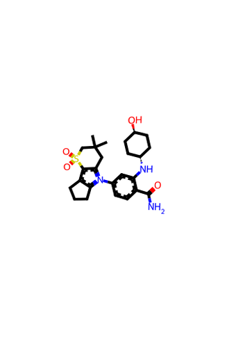 CC1(C)Cc2c(c3c(n2-c2ccc(C(N)=O)c(N[C@H]4CC[C@H](O)CC4)c2)CCC3)S(=O)(=O)C1